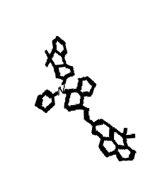 CC1(C)c2ccccc2-c2ccc(N(c3ccccc3)c3ccc(/C=C/c4cc5c6c(ccc7cccc(c76)C5(C)C)c4)c4ccccc34)cc21